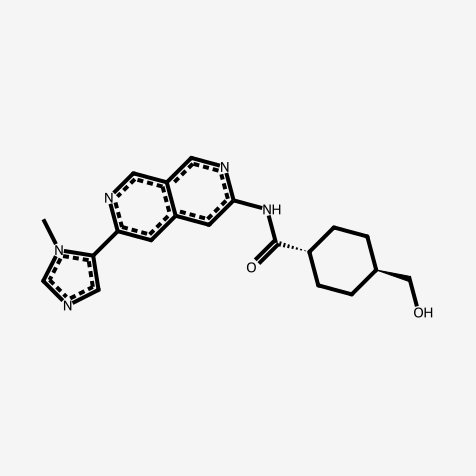 Cn1cncc1-c1cc2cc(NC(=O)[C@H]3CC[C@H](CO)CC3)ncc2cn1